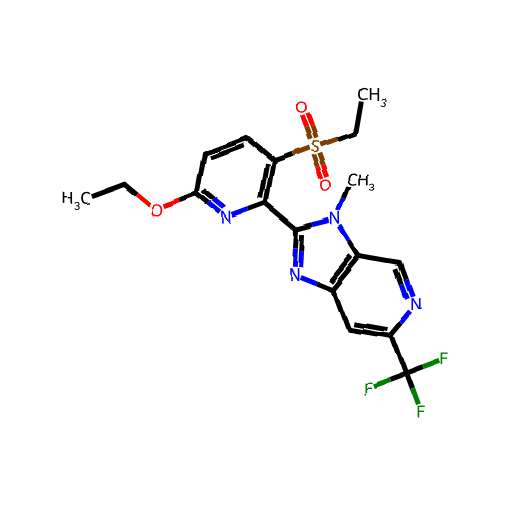 CCOc1ccc(S(=O)(=O)CC)c(-c2nc3cc(C(F)(F)F)ncc3n2C)n1